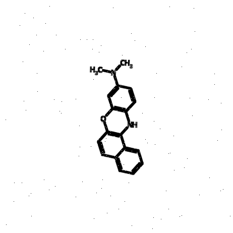 CN(C)c1ccc2c(c1)Oc1ccc3ccccc3c1N2